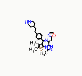 Cc1sc2c(c1C)C(c1ccc(CCC3CCNCC3)cc1)=N[C@@H](Cc1ncco1)c1nnc(C)n1-2